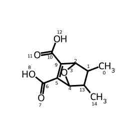 CC1C2OC(C(C(=O)O)=C2C(=O)O)C1C